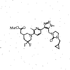 COC(=O)CC1CN(c2ccc(-c3nnn(C)c3CN3CCN(CC4CC4)C3=O)nc2C)CC(F)(F)C1